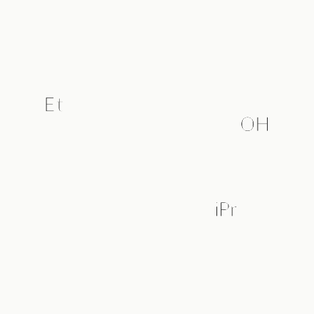 [CH2]CC#CC(O)C(C)C